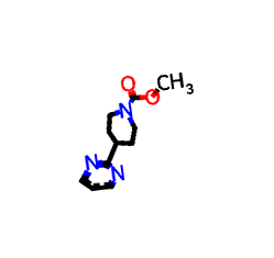 COC(=O)N1CCC(c2ncccn2)CC1